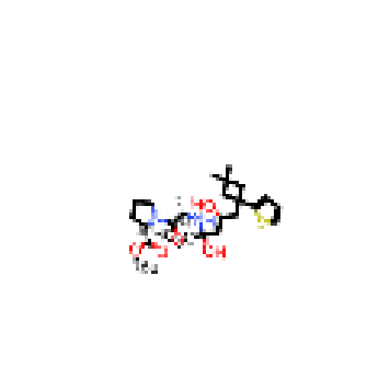 C[C@H](NC(O)(CC(O)CC1(c2cccs2)CC(C)(C)C1)C(=O)O)C(=O)N1CCC[C@H]1C(=O)OC(C)(C)C